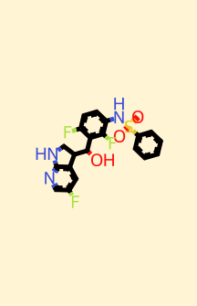 O=S(=O)(Nc1ccc(F)c(C(O)C2CNc3ncc(F)cc32)c1F)c1ccccc1